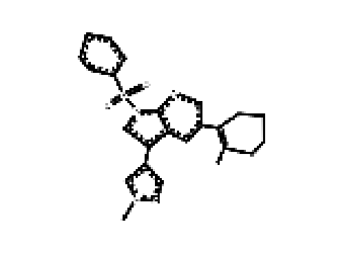 CC1=C(c2cnc3c(c2)c(-c2cnn(C)c2)cn3S(=O)(=O)c2ccccc2)CCCC1